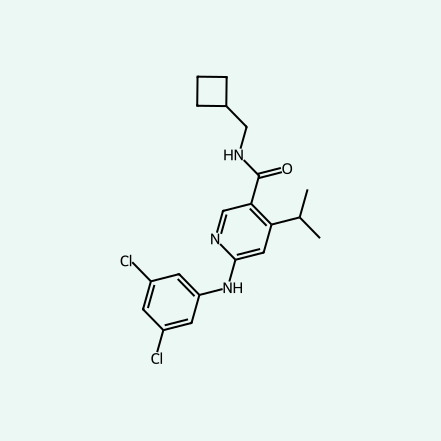 CC(C)c1cc(Nc2cc(Cl)cc(Cl)c2)ncc1C(=O)NCC1CCC1